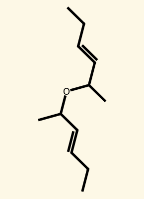 CCC=CC(C)OC(C)C=CCC